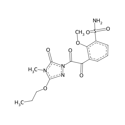 CCCOc1nn(C(=O)C(=O)c2cccc(S(N)(=O)=O)c2OC)c(=O)n1C